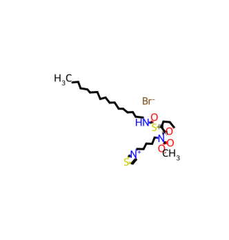 CCCCCCCCCCCCCCCCCNC(=O)S[C@H]1CCCO[C@H]1N(CCCCC[n+]1ccsc1)C(=O)OC.[Br-]